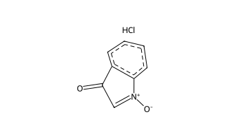 Cl.O=C1C=[N+]([O-])c2ccccc21